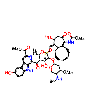 COC(=O)NC1=C2C#C/C=C\C#C[C@H](OC3OC(C)C(C(=O)c4nc(C(=O)OC)cc5c4[nH]c4ccc(O)cc45)C(O)C3OC3CC(OC)C(NC(C)C)CO3)C2/C(=C\CSC(C)=O)[C@@H](O)CC1=O